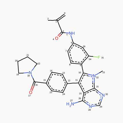 C=C(C)C(=O)Nc1ccc(-c2c(-c3ccc(C(=O)N4CCCC4)cc3)c3c(N)ncnc3n2C)c(F)c1